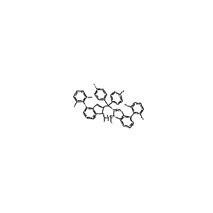 Cc1ccc(C2(c3ccc(C)cc3)C3=Cc4c(-c5c(C)cccc5C)cccc4[CH]3[Hf]([CH3])([CH3])[CH]3C2=Cc2c(-c4c(C)cccc4C)cccc23)cc1